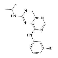 CC(C)Nc1ncc2ncnc(Nc3cccc(Br)c3)c2n1